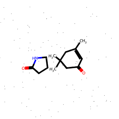 CC1=CC(=O)CC(C)(C)C1.O=C1CCCN1